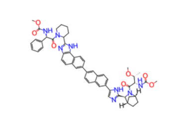 COC(=O)N[C@H](C(=O)N1[C@@H]2CC[C@@H](C2)[C@H]1c1ncc(-c2ccc3cc(-c4ccc5c(ccc6nc(C7CCCCN7C(=O)[C@H](NC(=O)OC)c7ccccc7)[nH]c65)c4)ccc3c2)[nH]1)[C@@H](C)OC